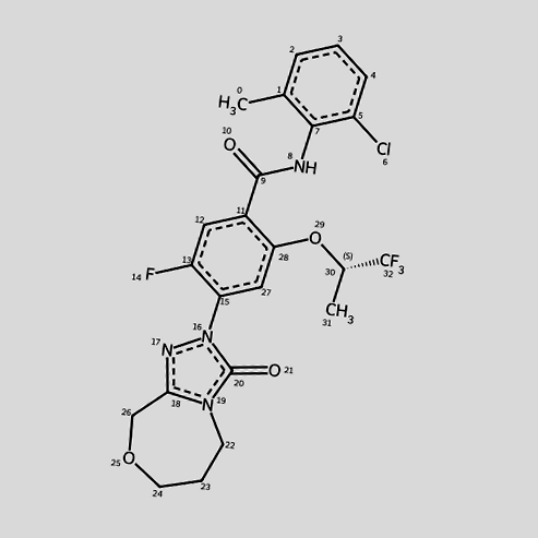 Cc1cccc(Cl)c1NC(=O)c1cc(F)c(-n2nc3n(c2=O)CCCOC3)cc1O[C@@H](C)C(F)(F)F